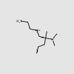 CCCC(C)(CNCCN)N(C)C